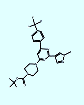 Cn1cc(-c2nc(-c3ccc(C(F)(F)F)cc3)cc(N3CCN(C(=O)OC(C)(C)C)CC3)n2)cn1